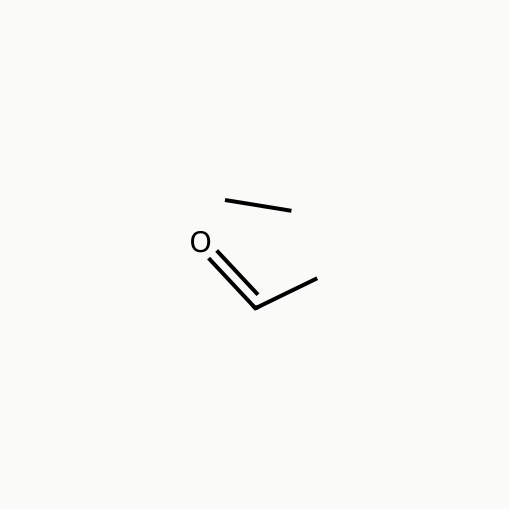 CC.CC=O